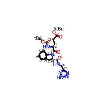 CC(C)(C)OC(=O)CC[C@H](NC(=O)OC(C)(C)C)C(=O)N1c2ccccc2C[C@H]1C(=O)NCc1nn[nH]n1